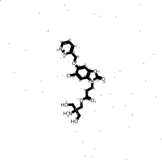 NC(CO)(CO)COC(=O)CCn1c(=O)oc2cc(OCc3cccnn3)c(Cl)cc21